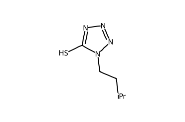 CC(C)CCn1nnnc1S